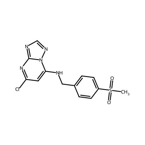 CS(=O)(=O)c1ccc(CNc2cc(Cl)nc3ncnn23)cc1